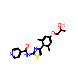 CC1=CC(OCC(C)O)=CC(C)C1c1csc(NC(=O)c2ccncc2)n1